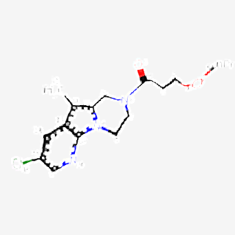 CCCOCCC(=O)N1CCn2c(c(C)c3cc(Cl)cnc32)C1